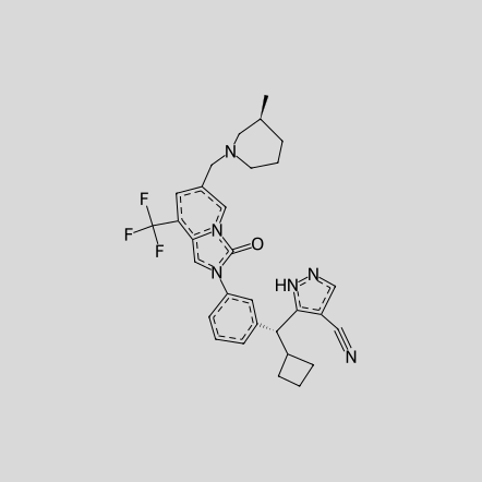 C[C@H]1CCCN(Cc2cc(C(F)(F)F)c3cn(-c4cccc([C@H](c5[nH]ncc5C#N)C5CCC5)c4)c(=O)n3c2)C1